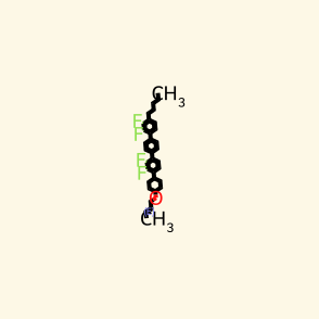 C/C=C/COC1CCC(c2ccc(-c3ccc(-c4ccc(CCCCC)c(F)c4F)cc3)c(F)c2F)CC1